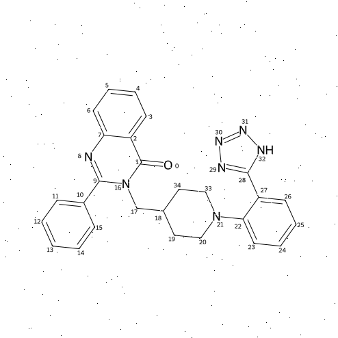 O=c1c2ccccc2nc(-c2ccccc2)n1CC1CCN(c2ccccc2-c2nnn[nH]2)CC1